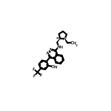 CCN1CCC[C@@H]1CNc1nnc(-c2ccc(C(F)(F)F)cc2O)c2ccccc12